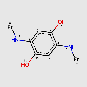 CCNc1cc(O)c(NCC)cc1O